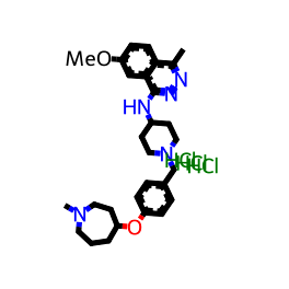 COc1ccc2c(C)nnc(NC3CCN(Cc4ccc(OC5CCCN(C)CC5)cc4)CC3)c2c1.Cl.Cl.Cl